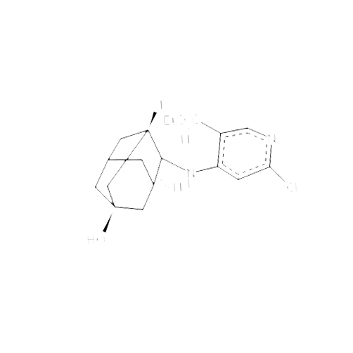 CCOC(=O)c1cnc(Cl)cc1N[C@H]1[C@@H]2CC3C[C@H]1C[C@@](O)(C3)C2